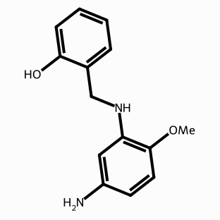 COc1ccc(N)cc1NCc1ccccc1O